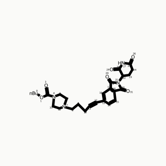 CCCCOC(=O)N1CCN(CCCC#Cc2ccc3c(c2)C(=O)N(C2CCC(=O)NC2=O)C3=O)CC1